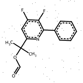 CC(C)(OC=O)c1cc(F)c(F)c(-c2ccccc2)n1